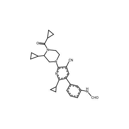 N#Cc1cc(-c2cccc(NC=O)c2)c(C2CC2)nc1N1CCN(C(=O)C2CC2)C(C2CC2)C1